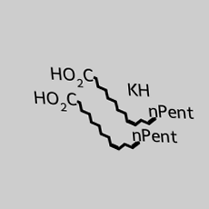 CCCCC/C=C\C/C=C\CCCCCCCC(=O)O.CCCCC/C=C\C/C=C\CCCCCCCC(=O)O.[KH]